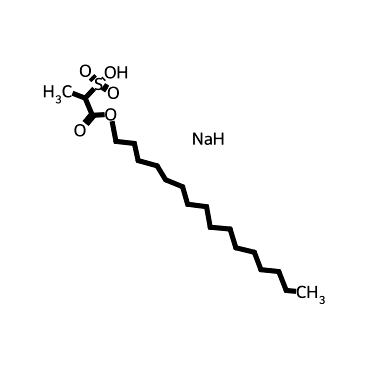 CCCCCCCCCCCCCCCCOC(=O)C(C)S(=O)(=O)O.[NaH]